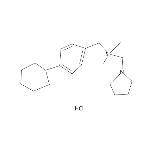 C[Si](C)(Cc1ccc(C2CCCCC2)cc1)CN1CCCC1.Cl